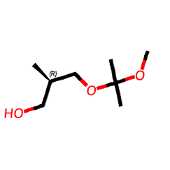 COC(C)(C)OC[C@H](C)CO